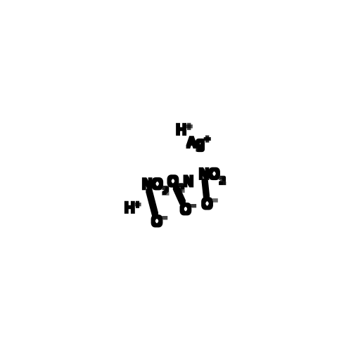 O=[N+]([O-])[O-].O=[N+]([O-])[O-].O=[N+]([O-])[O-].[Ag+].[H+].[H+]